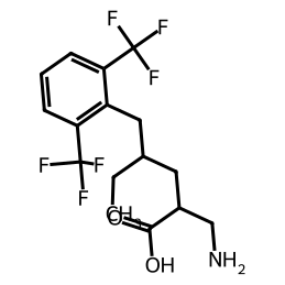 CCC(Cc1c(C(F)(F)F)cccc1C(F)(F)F)CC(CN)C(=O)O